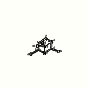 O=c1ccn2c(=O)n1S2(=O)=O